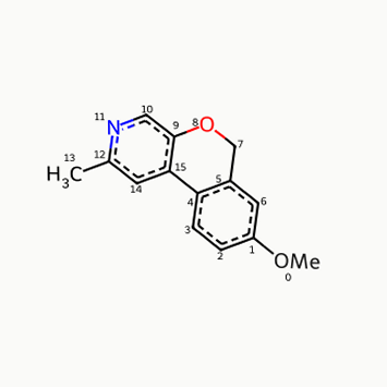 COc1ccc2c(c1)COc1cnc(C)cc1-2